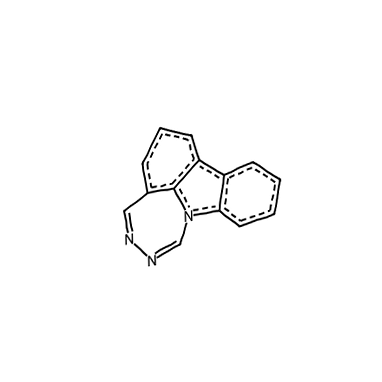 C1=NN=Cn2c3ccccc3c3cccc1c32